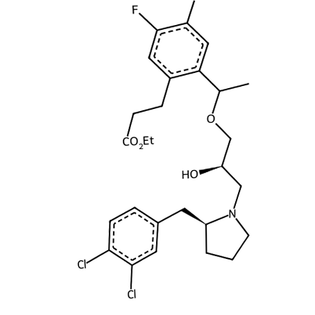 CCOC(=O)CCc1cc(F)c(F)cc1C(C)OC[C@H](O)CN1CCC[C@H]1Cc1ccc(Cl)c(Cl)c1